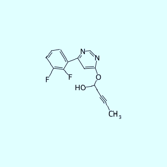 CC#CC(O)Oc1cc(-c2cccc(F)c2F)ncn1